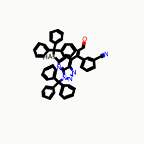 N#Cc1cccc(C(=CC=O)c2cc([AsH]C(c3ccccc3)(c3ccccc3)c3ccccc3)nc3c2nnn3C(c2ccccc2)(c2ccccc2)c2ccccc2)c1